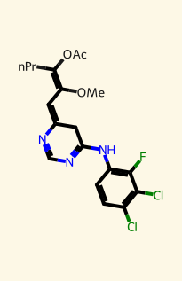 CCC/C(OC(C)=O)=C(\C=C1/CC(Nc2ccc(Cl)c(Cl)c2F)=NC=N1)OC